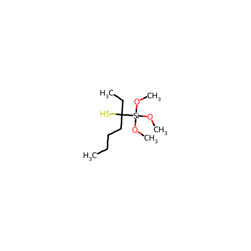 CCCCC(S)(CC)[Si](OC)(OC)OC